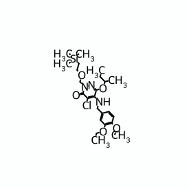 CCOc1cc(CNc2c(OC(C)CC)nn(COCC[Si](C)(C)C)c(=O)c2Cl)ccc1OC